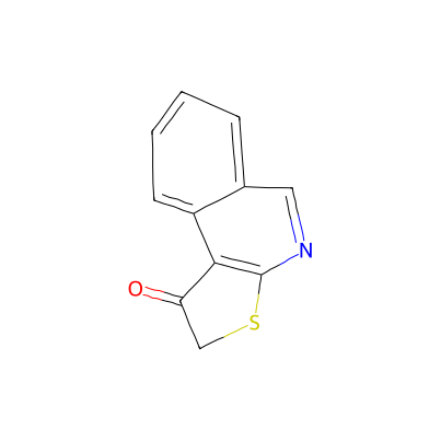 O=C1CSc2ncc3ccccc3c21